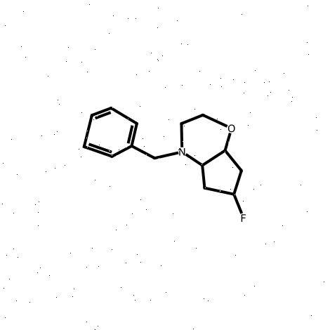 FC1CC2OCCN(Cc3ccccc3)C2C1